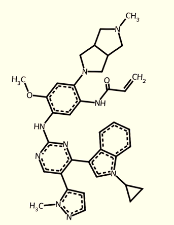 C=CC(=O)Nc1cc(Nc2ncc(-c3ccnn3C)c(-c3cn(C4CC4)c4ccccc34)n2)c(OC)cc1N1CC2CN(C)CC2C1